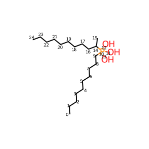 CCCCCCCCCCP(O)(O)(O)C(C)CCCCCCCCC